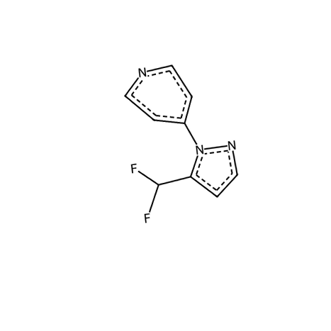 FC(F)c1ccnn1-c1ccncc1